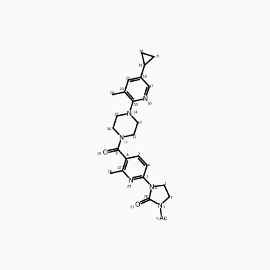 CC(=O)N1CCN(c2ccc(C(=O)N3CCN(c4ncc(C5CC5)cc4C)CC3)c(C)n2)C1=O